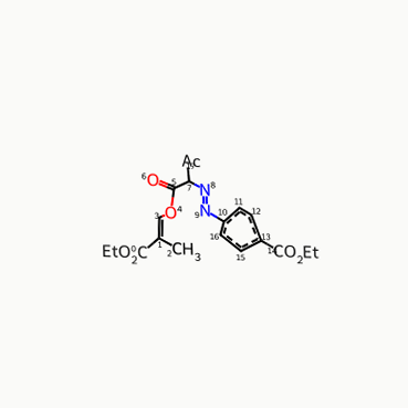 CCOC(=O)C(C)=COC(=O)C(N=Nc1ccc(C(=O)OCC)cc1)C(C)=O